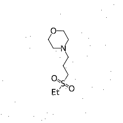 CCS(=O)(=O)CCCN1CCOCC1